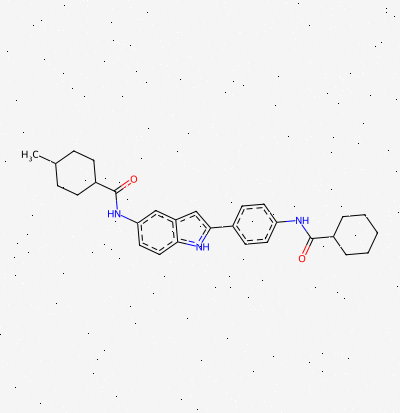 CC1CCC(C(=O)Nc2ccc3[nH]c(-c4ccc(NC(=O)C5CCCCC5)cc4)cc3c2)CC1